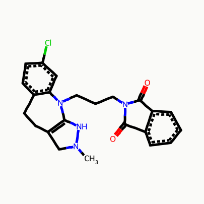 CN1CC2=C(N1)N(CCCN1C(=O)c3ccccc3C1=O)c1cc(Cl)ccc1CC2